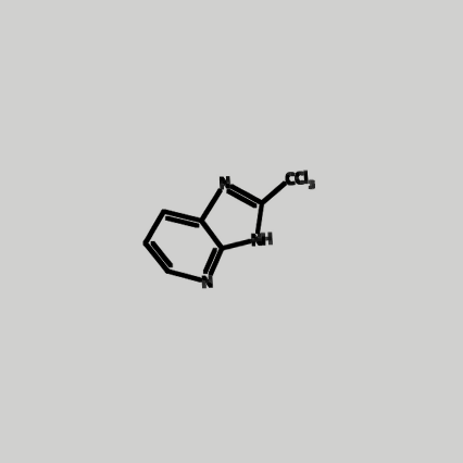 ClC(Cl)(Cl)c1nc2cccnc2[nH]1